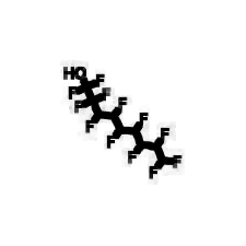 OC(F)(F)C(F)(F)C(F)C(F)C(F)C(F)C(F)C(F)C(F)F